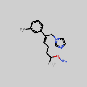 NOC(CC/C=C(\Cn1ccnc1)c1cccc(C(F)(F)F)c1)C(=O)O